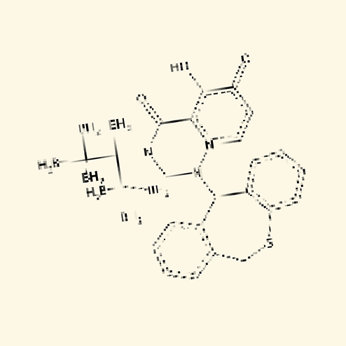 BC(B)(B)C(B)(N1CN(C2c3ccccc3CSc3ccccc32)n2ccc(=O)c(O)c2C1=O)C(B)(B)B